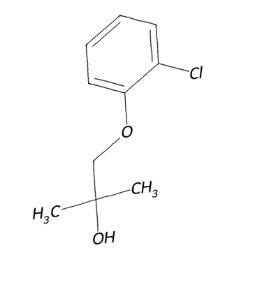 CC(C)(O)COc1ccccc1Cl